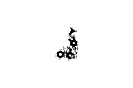 N=C(Nc1ccc2c(c1)CN(CC1CC1)C2)c1c(NC2CCCCC2)cc[nH]c1=O